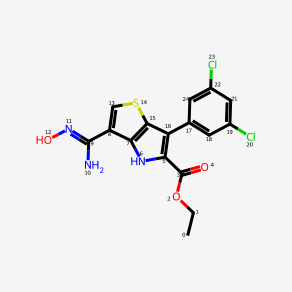 CCOC(=O)c1[nH]c2c(/C(N)=N/O)csc2c1-c1cc(Cl)cc(Cl)c1